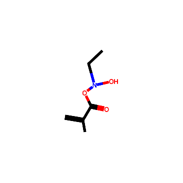 C=C(C)C(=O)ON(O)CC